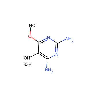 Nc1nc(N)c(N=O)c(ON=O)n1.[NaH]